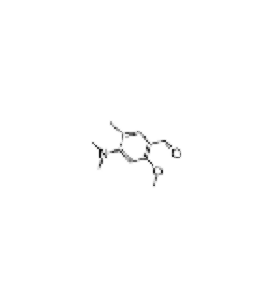 COc1cc(N(C)C)c(C)cc1C=O